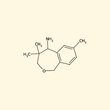 Cc1ccc2c(c1)C(N)C(C)(C)COC2